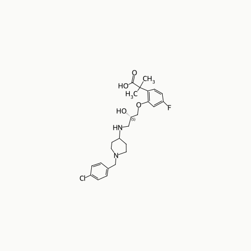 CC(C)(C(=O)O)c1ccc(F)cc1OC[C@@H](O)CNC1CCN(Cc2ccc(Cl)cc2)CC1